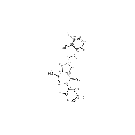 CC(=O)O[C@H](OC(=O)N1C[C@@H](COc2cccc(F)c2F)C[C@H]1C(=O)O)C(C)C